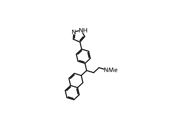 CNCCC(c1ccc(-c2cn[nH]c2)cc1)C1C=Cc2ccccc2C1